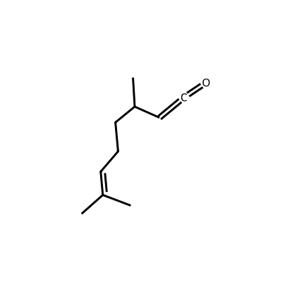 CC(C)=CCCC(C)C=C=O